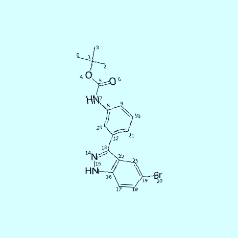 CC(C)(C)OC(=O)Nc1cccc(-c2n[nH]c3ccc(Br)cc23)c1